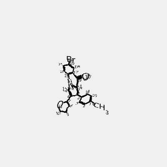 Cc1ccc(-c2c(C3CCCO3)cn3c2C(=O)c2cc(Br)ccc2-3)cc1